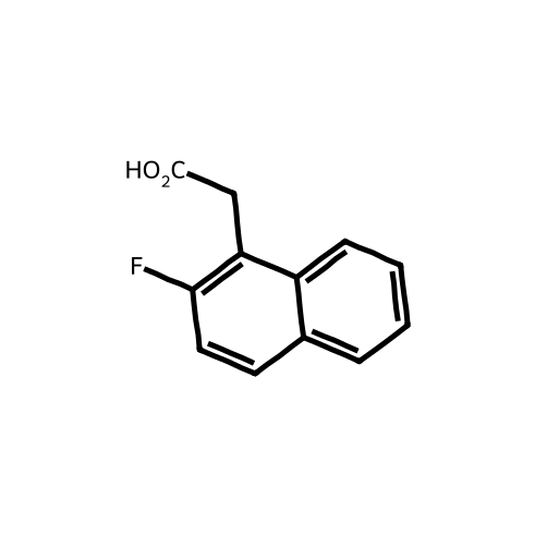 O=C(O)Cc1c(F)ccc2ccccc12